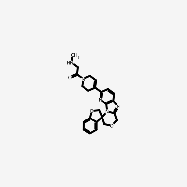 CNCC(=O)N1CC=C(c2ccc3nc4n(c3n2)C2(COC4)COc3ccccc32)CC1